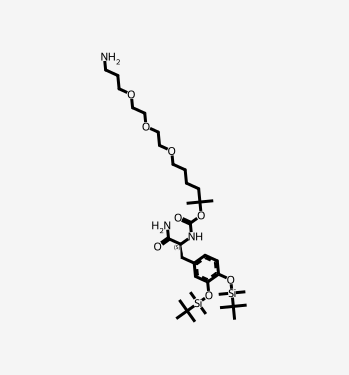 CC(C)(CCCCOCCOCCOCCCN)OC(=O)N[C@@H](Cc1ccc(O[Si](C)(C)C(C)(C)C)c(O[Si](C)(C)C(C)(C)C)c1)C(N)=O